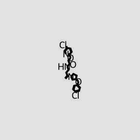 C=C(CCNC(=O)COc1ccc(Cl)cn1)N1CCC(Oc2ccc(Cl)cc2)C1